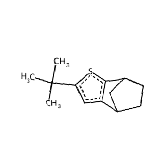 CC(C)(C)c1cc2c(s1)C1CCC2C1